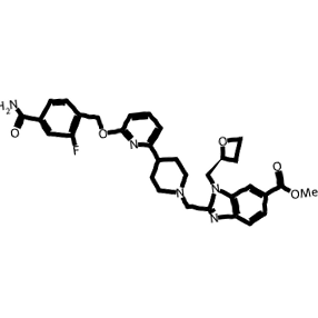 COC(=O)c1ccc2nc(CN3CCC(c4cccc(OCc5ccc(C(N)=O)cc5F)n4)CC3)n(C[C@@H]3CCO3)c2c1